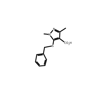 Cc1nn(C)c(SCc2ccccc2)c1C(=O)O